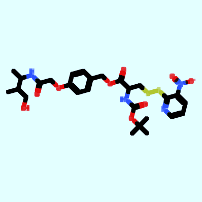 CC(CO)C(C)NC(=O)COc1ccc(COC(=O)C(CSSc2ncccc2[N+](=O)[O-])NC(=O)OC(C)(C)C)cc1